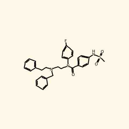 CS(=O)(=O)Nc1ccc(C(=O)N(CCN(CCc2ccccc2)Cc2ccccc2)c2ccc(F)cc2)cc1